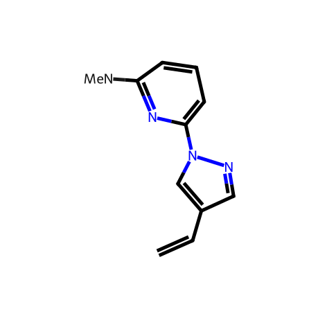 C=Cc1cnn(-c2cccc(NC)n2)c1